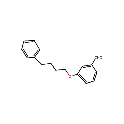 O=Cc1cccc(OCCCCc2ccccc2)c1